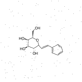 OC[C@H]1OC(C=Cc2ccccc2)[C@H](O)[C@@H](O)[C@H]1O